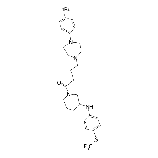 CC(C)(C)c1ccc(N2CCN(CCCC(=O)N3CCCC(Nc4ccc(SC(F)(F)F)cc4)C3)CC2)cc1